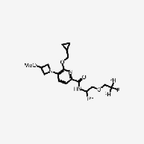 [2H]C([2H])(F)COCC(NC(=O)c1ccc(N2CC(OC)C2)c(OCC2CC2)n1)C(C)C